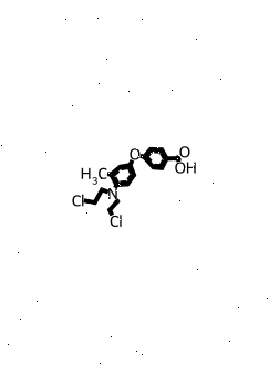 Cc1cc(Oc2ccc(C(=O)O)cc2)ccc1N(CCCl)CCCl